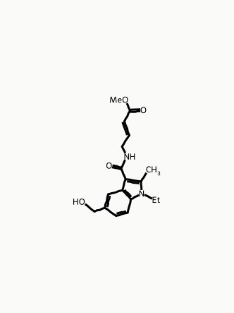 CCn1c(C)c(C(=O)NC/C=C/C(=O)OC)c2cc(CO)ccc21